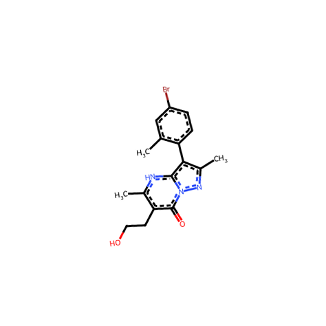 Cc1cc(Br)ccc1-c1c(C)nn2c(=O)c(CCO)c(C)[nH]c12